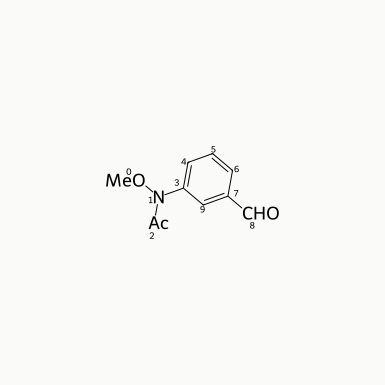 CON(C(C)=O)c1cccc(C=O)c1